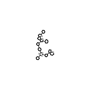 c1ccc(-c2ccc3ccc4c(-c5cccc(-c6ccc(-c7nc(-c8ccccc8)nc(-c8cccc(-c9cccc%10ncccc9%10)c8)n7)cc6)c5)cc(-c5ccccc5)nc4c3n2)cc1